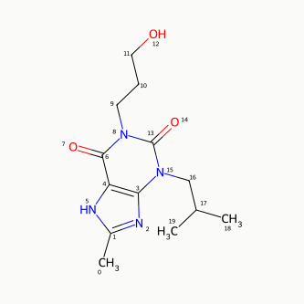 Cc1nc2c([nH]1)c(=O)n(CCCO)c(=O)n2CC(C)C